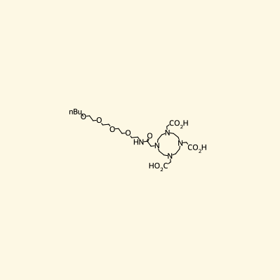 CCCCOCCOCCOCCOCCNC(=O)CN1CCN(CC(=O)O)CCN(CC(=O)O)CCN(CC(=O)O)CC1